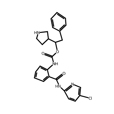 O=C(Nc1ccccc1C(=O)Nc1ccc(Cl)cn1)OC(Cc1ccccc1)C1CCNC1